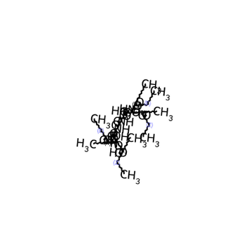 CCCCCC/C=C\CCCC(=O)O[C@H](CCCCCCC)CCOCC(COP(=O)(O)OCCNC(=O)CC(=O)NCCOP(=O)(O)OCC(COCC[C@@H](CCCCCCC)OC(=O)CCC/C=C\CCCCCC)NC(=O)C[C@@H](CCCCCCCCCCC)OC(=O)CCC/C=C/CCCCCC)NC(=O)C[C@@H](CCCCCCC)OC(=O)CCC/C=C/CCCCCC